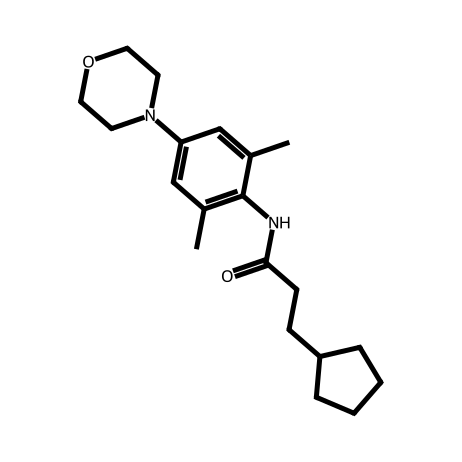 Cc1cc(N2CCOCC2)cc(C)c1NC(=O)CCC1CCCC1